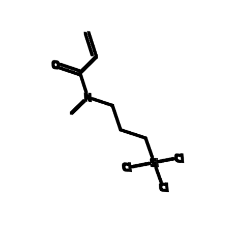 C=CC(=O)N(C)CCC[Si](Cl)(Cl)Cl